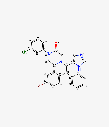 O=C1CN(C(c2cnc[nH]2)C(c2ccccc2)c2ccc(Br)cc2)CCN1c1cccc(Cl)c1